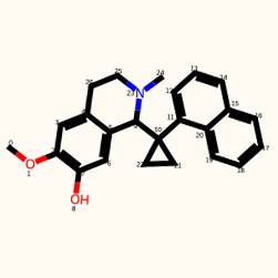 COc1cc2c(cc1O)C(C1(c3cccc4ccccc34)CC1)N(C)CC2